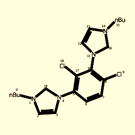 CCCCN1C=CN(c2ccc(Cl)c(N3C=CN(CCCC)C3)c2Cl)C1